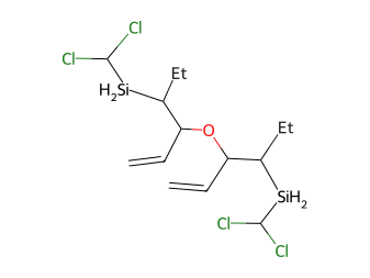 C=CC(OC(C=C)C(CC)[SiH2]C(Cl)Cl)C(CC)[SiH2]C(Cl)Cl